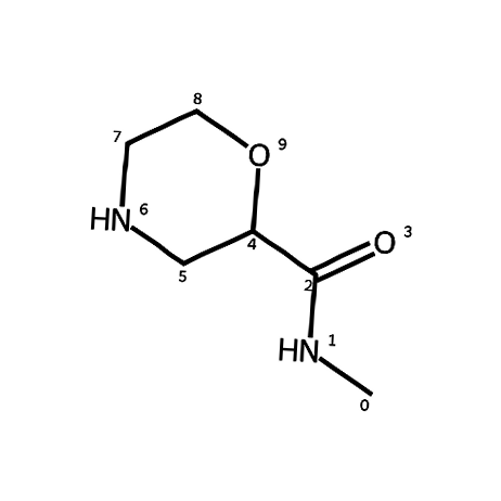 CNC(=O)C1CNCCO1